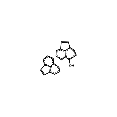 C1=Cc2cccc3cccc1c23.Oc1ccc2c3c(cccc13)C=C2